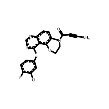 CC#CC(=O)N1CCOc2c1ccc1ncnc(Oc3ccc(F)c(Cl)c3)c21